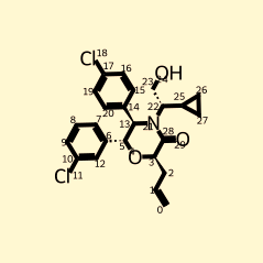 C=CC[C@H]1O[C@H](c2cccc(Cl)c2)[C@@H](c2ccc(Cl)cc2)N([C@H](CO)C2CC2)C1=O